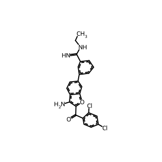 CCNC(=N)c1cccc(-c2ccc3c(N)c(C(=O)c4ccc(Cl)cc4Cl)oc3c2)c1